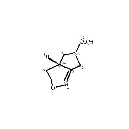 O=C(O)N1CC2=NOC[C@@H]2C1